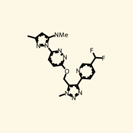 CNc1cc(C)nn1-c1ccc(OCc2c(-c3ccc(C(F)F)cn3)nnn2C)nn1